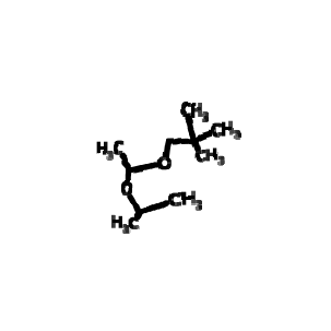 CC(C)OC(C)OCC(C)(C)C